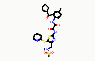 Cc1ccc(NC(=O)C(=O)Nc2nc(CNS(C)(=O)=O)c(Sc3ccccn3)s2)c(C(=O)C2CCCC2)c1